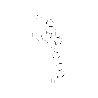 COc1ccc(Cn2nc(Nc3cc[nH]c3C(C)(C)C)c3c(Oc4ccc(C(=O)Nc5cc(C(C)C)ccn5)cc4)ccnc32)cc1